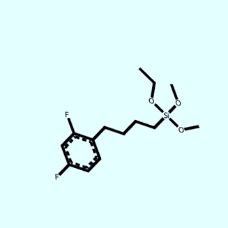 CCO[Si](CCCCc1ccc(F)cc1F)(OC)OC